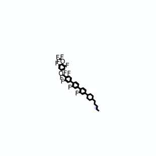 C/C=C/CCC1CCC(c2ccc(-c3ccc(-c4cc(F)c(C(F)(F)Oc5cc(F)c(OC(F)(F)F)c(F)c5)c(F)c4)c(F)c3)c(F)c2)CC1